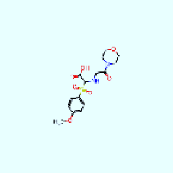 COc1ccc(S(=O)(=O)C(NCC(=O)N2CCOCC2)C(=O)O)cc1